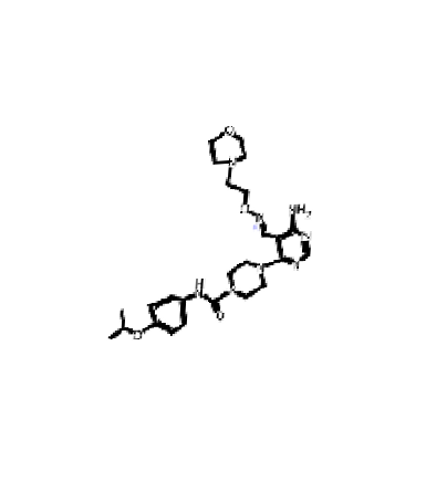 CC(C)Oc1ccc(NC(=O)N2CCN(c3ncnc(N)c3/C=N/OCCN3CCOCC3)CC2)cc1